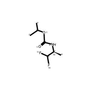 CC(C)OC(=O)N[C@@H](C)C(F)F